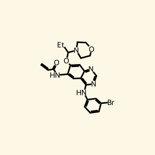 C=CC(=O)Nc1cc2c(Nc3cccc(Br)c3)ncnc2cc1OC(CC)N1CCOCC1